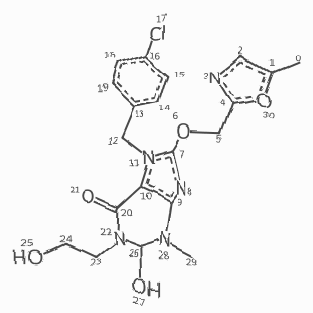 Cc1cnc(COc2nc3c(n2Cc2ccc(Cl)cc2)C(=O)N(CCO)C(O)N3C)o1